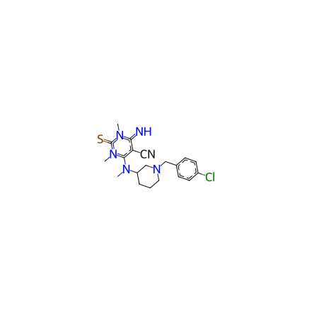 CN(c1c(C#N)c(=N)n(C)c(=S)n1C)C1CCCN(Cc2ccc(Cl)cc2)C1